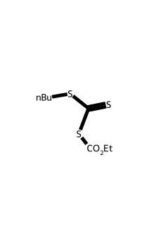 CCCCSC(=S)SC(=O)OCC